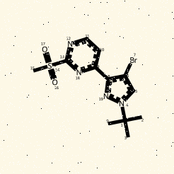 CC(C)(C)n1cc(Br)c(-c2ccnc(S(C)(=O)=O)n2)n1